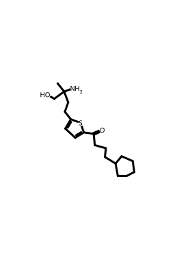 CC(N)(CO)CCc1ccc(C(=O)CCCC2CCCCC2)s1